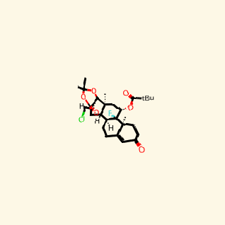 CC1(C)O[C@@H]2C[C@H]3[C@@H]4CCC5=CC(=O)CC[C@]5(C)[C@@]4(F)[C@@H](OC(=O)C(C)(C)C)C[C@]3(C)[C@]2(C(=O)CCl)O1